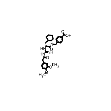 COc1ccc(CC(=O)NC(=N)N[C@H](CC2CCCCC2)C(=O)NCc2ccc(C(=O)O)cc2)cc1OC